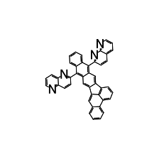 c1cnc2nc(-c3c4ccccc4c(-c4ccc5ncccc5n4)c4cc5c(cc34)-c3cccc4c3c-5cc3ccccc34)ccc2c1